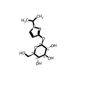 CC(C)n1ccc(O[C@@H]2O[C@H](CO)[C@@H](O)[C@H](O)[C@H]2O)n1